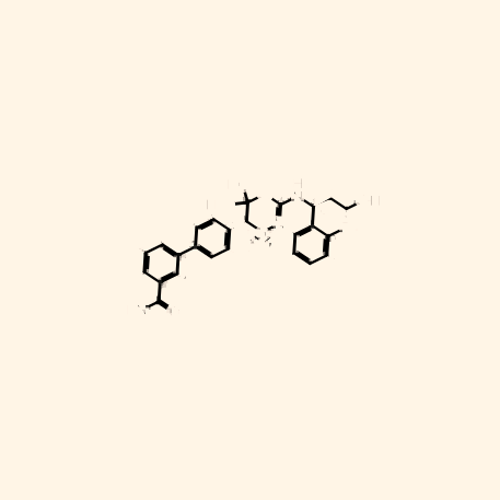 CC1(C)OC(N[C@@H](CCO)c2ccccc2F)=NS(=O)(=O)[C@@H]1c1ccc(-c2cccc(C(N)=O)c2)cc1